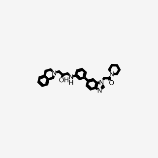 O=C(Cn1cnc2ccc(-c3cccc(NCC(O)CN4CCc5ccccc5C4)c3)cc21)N1CCCCC1